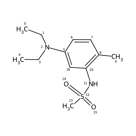 CCN(CC)c1ccc(C)c(NS(C)(=O)=O)c1